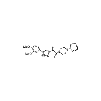 COc1ccc(-c2cc(NC(=O)N3CCN(c4ccccc4)CC3)n[nH]2)cc1OC